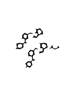 Cc1ccc(N)c2cc(C)n(Cc3ccc(O)c(C(=O)c4ccc(F)cc4)c3)c12.Cc1ccc(NC(=O)CC(=O)O)c2cc(C)n(Cc3ccc(O)c(C(=O)c4ccc(F)cc4)c3)c12